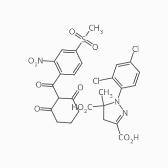 CC1(C(=O)O)CC(C(=O)O)=NN1c1ccc(Cl)cc1Cl.CS(=O)(=O)c1ccc(C(=O)C2C(=O)CCCC2=O)c([N+](=O)[O-])c1